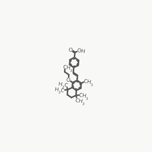 CCCOc1c(C=Cc2ccc(C(=O)O)cc2)c(C)cc2c1C(C)(C)CCC2(C)C